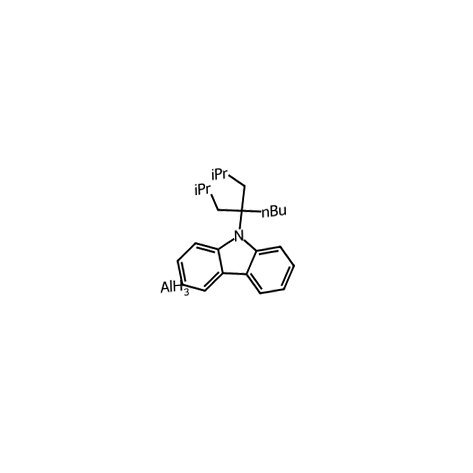 [AlH3].[CH2]CCCC(CC(C)C)(CC(C)C)n1c2ccccc2c2ccccc21